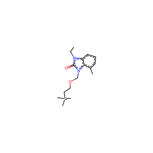 CCn1c(=O)n(COCC[Si](C)(C)C)c2c(C)cccc21